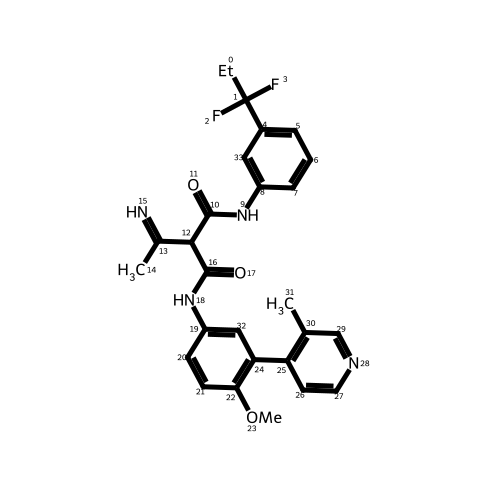 CCC(F)(F)c1cccc(NC(=O)C(C(C)=N)C(=O)Nc2ccc(OC)c(-c3ccncc3C)c2)c1